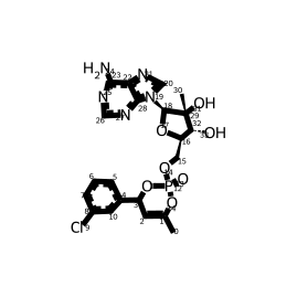 CC1=CC(c2cccc(Cl)c2)OP(=O)(OC[C@H]2O[C@@H](n3cnc4c(N)ncnc43)[C@](C)(O)[C@@H]2O)O1